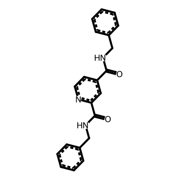 O=C(NCc1ccccc1)c1ccnc(C(=O)NCc2ccccc2)c1